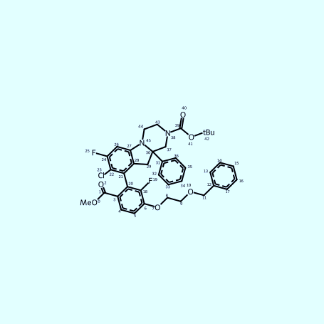 COC(=O)c1ccc(OCCOCc2ccccc2)c(F)c1-c1c(Cl)c(F)cc2c1CC1(c3ccccc3)CN(C(=O)OC(C)(C)C)CCN21